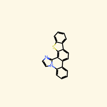 c1ccc2c(c1)sc1c2ccc2c3ccccc3n3ccnc3c21